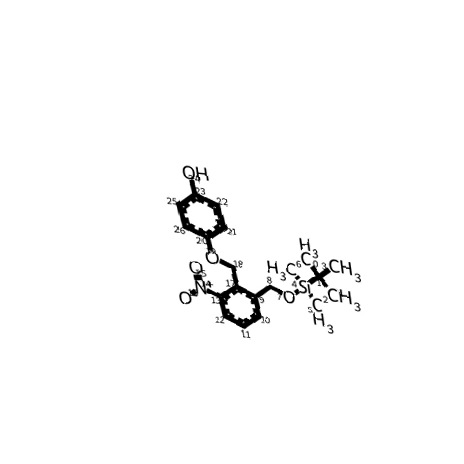 CC(C)(C)[Si](C)(C)OCc1cccc([N+](=O)[O-])c1COc1ccc(O)cc1